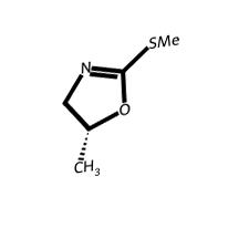 CSC1=NC[C@@H](C)O1